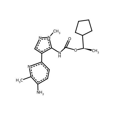 Cc1nc(-c2cnn(C)c2NC(=O)O[C@H](C)C2CCCC2)ccc1N